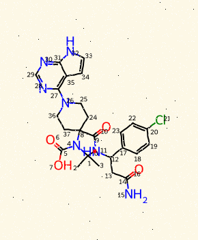 CC(C)(C)N(C(=O)O)C1(C(=O)NC(CC(N)=O)c2ccc(Cl)cc2)CCN(c2ncnc3[nH]ccc23)CC1